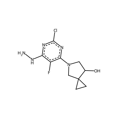 NNc1nc(Cl)nc(N2CC(O)C3(CC3)C2)c1F